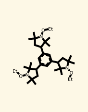 CCON1C(C)(C)CC(c2cc(C3CC(C)(C)N(OCC)C3(C)C)cc(C3CC(C)(C)N(OCC)C3(C)C)c2)C1(C)C